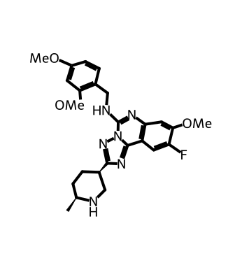 COc1ccc(CNc2nc3cc(OC)c(F)cc3c3nc([C@@H]4CC[C@H](C)NC4)nn23)c(OC)c1